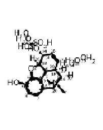 CN1CC[C@]23c4c5ccc(O)c4O[C@H]2[C@@H](O)C=C[C@H]3[C@H]1C5.O.O.O.O.O.O=S(=O)(O)O